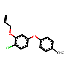 C=CCOc1cc(Oc2ccc(C=O)cc2)ccc1Cl